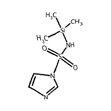 C[Si](C)(C)NS(=O)(=O)n1ccnc1